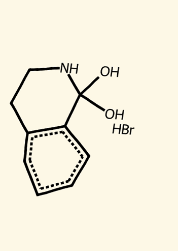 Br.OC1(O)NCCc2ccccc21